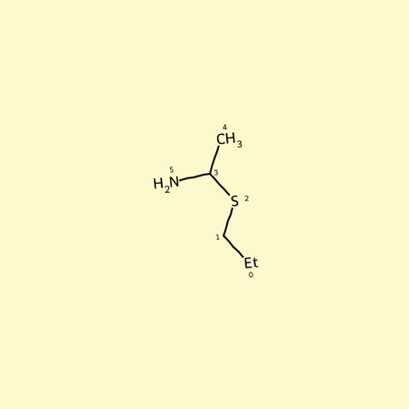 CCCSC(C)N